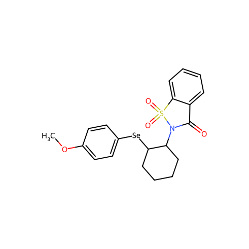 COc1ccc([Se]C2CCCCC2N2C(=O)c3ccccc3S2(=O)=O)cc1